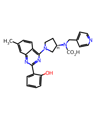 Cc1ccc2c(N3CC[C@@H](N(Cc4ccncc4)C(=O)O)C3)nc(-c3ccccc3O)nc2c1